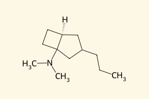 CCCC1C[C@@H]2CCC2(N(C)C)C1